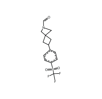 O=CN1CC2(CC(c3ccc(S(=O)(=O)C(F)(F)F)cc3)C2)C1